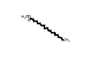 CCCCCC=CCC=CCCCCCCCC=CC(=O)OC